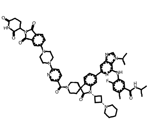 Cc1cc(F)c(Nc2nc(-c3ccc4c(c3)N([C@H]3C[C@@H](N5CCCCC5)C3)C(=O)C43CCN(C(=O)c4ccc(N5CCN(c6ccc7c(c6)C(=O)N(C6CCC(=O)NC6=O)C7=O)CC5)nc4)CC3)cc3ncn(C(C)C)c23)cc1C(=O)NC(C)C